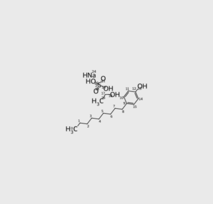 CCCCCCCCCc1ccc(O)cc1.CCO.O=S(=O)(O)O.[NaH]